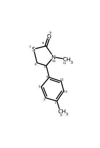 Cc1ccc(C2CSC(=O)N2C)cc1